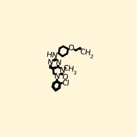 C=CCO[C@H]1CC[C@H](Nc2ncc3c(n2)N(C)C(=O)N(c2ccccc2Cl)C3)CC1